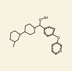 CC1CCCN(C2CCN(C(OS)c3ccc(Oc4cccnc4)cc3)CC2)C1